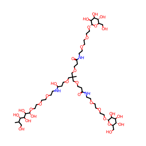 CC(CO)[C@@H](O)C(O)C(O)[C@H](O)OCCOCCOCCNC(O)CCOCC(C)(COCCC(=O)NCCOCCOCCO[C@H]1OC(CO)[C@@H](O)C(O)C1O)COCCC(=O)NCCOCCOCCO[C@H]1OC(CO)[C@@H](O)C(O)C1O